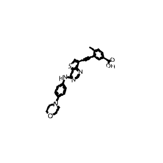 Cc1ccc(C(=O)O)cc1C#Cc1csc2c(Nc3ccc(N4CCOCC4)cc3)ncnc12